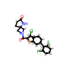 O=C1CCC2(CN(C(=O)c3sc4cc(-c5c(F)cccc5F)ccc4c3Cl)C2)N1